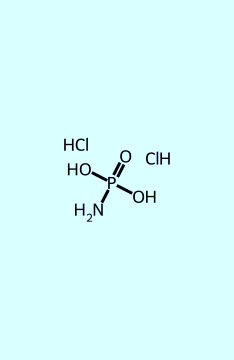 Cl.Cl.NP(=O)(O)O